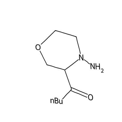 CCCCC(=O)C1COCCN1N